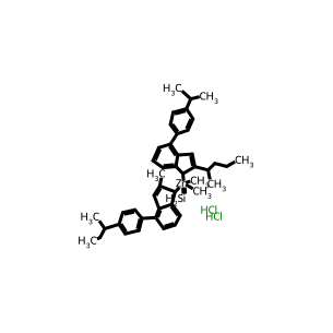 CCCC(C)C1=Cc2c(-c3ccc(C(C)C)cc3)cccc2[CH]1[Zr]([CH3])([CH3])(=[SiH2])[CH]1C(C)=Cc2c(-c3ccc(C(C)CC)cc3)cccc21.Cl.Cl